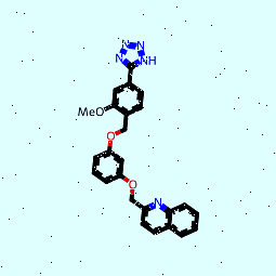 COc1cc(-c2nnn[nH]2)ccc1COc1cccc(OCc2ccc3ccccc3n2)c1